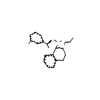 CC(=O)N1N=C(c2cccc(F)c2)S[C@]12c1ccccc1CC[C@@H]2CCN